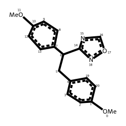 COc1ccc(CC(c2ccc(OC)cc2)c2ncon2)cc1